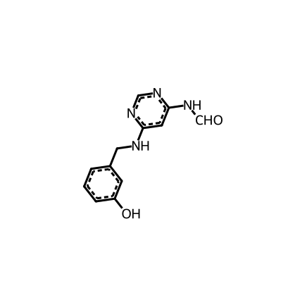 O=CNc1cc(NCc2cccc(O)c2)ncn1